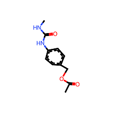 CNC(=O)Nc1ccc(COC(C)=O)cc1